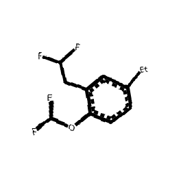 CCc1ccc(OC(F)F)c(CC(F)F)c1